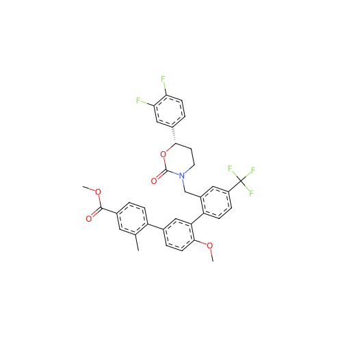 COC(=O)c1ccc(-c2ccc(OC)c(-c3ccc(C(F)(F)F)cc3CN3CC[C@@H](c4ccc(F)c(F)c4)OC3=O)c2)c(C)c1